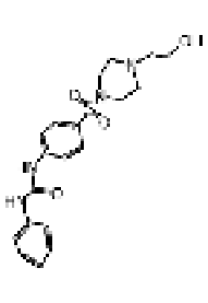 O=C(Nc1ccccc1)Nc1ccc(S(=O)(=O)N2CCN(CCO)CC2)cc1